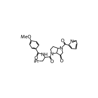 COc1ccc(C(=O)NC(CC(C)C)C(=O)N2CCC3C2C(=O)CN3C(=O)c2ccccn2)cc1